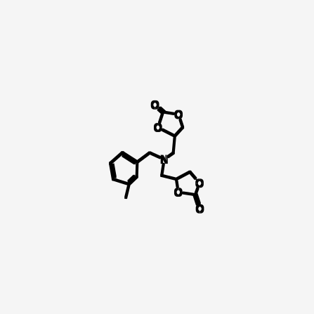 Cc1cccc(CN(CC2COC(=O)O2)CC2COC(=O)O2)c1